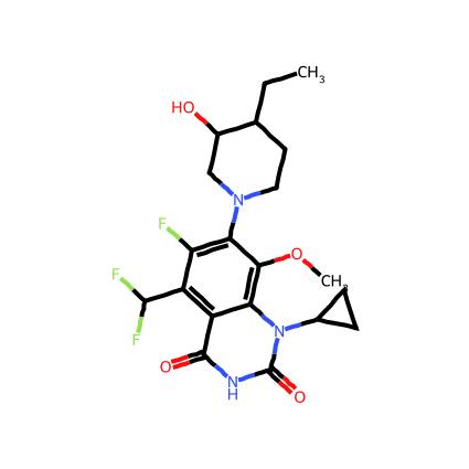 CCC1CCN(c2c(F)c(C(F)F)c3c(=O)[nH]c(=O)n(C4CC4)c3c2OC)CC1O